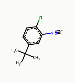 [C-]#[N+]c1cc(C(C)(C)C)ccc1Cl